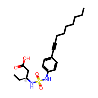 CCCCCCCC#Cc1ccc(NS(=O)(=O)N[C@@H](CC)CC(=O)O)cc1